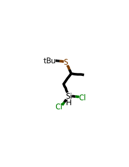 CC(C[SiH](Cl)Cl)SC(C)(C)C